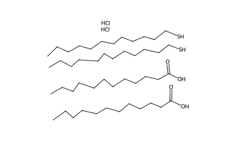 CCCCCCCCCCCC(=O)O.CCCCCCCCCCCC(=O)O.CCCCCCCCCCCCS.CCCCCCCCCCCCS.Cl.Cl